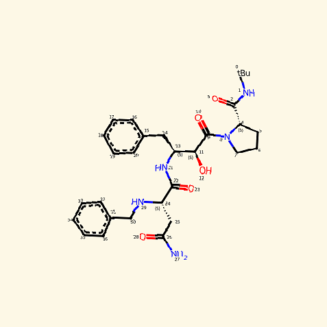 CC(C)(C)NC(=O)[C@@H]1CCCN1C(=O)[C@@H](O)[C@H](Cc1ccccc1)NC(=O)[C@H](CC(N)=O)NCc1ccccc1